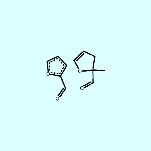 CC1(C=O)CC=CO1.O=Cc1ccco1